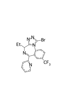 CCC1N=C(c2ccccn2)c2cc(C(F)(F)F)ccc2-n2c(Br)nnc21